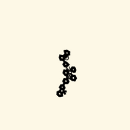 CC1(C)c2ccccc2-c2ccc(-c3ccc(N4c5ccccc5B5c6ccccc6N(c6ccc(-c7cccc8c7oc7ccccc78)cc6)c6cccc4c65)cc3)cc21